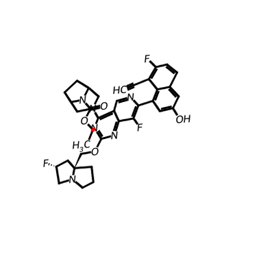 C#Cc1c(F)ccc2cc(O)cc(-c3ncc4c(N5CC6CCC(C5)N6C(=O)OCC)nc(OC[C@@]56CCCN5C[C@H](F)C6)nc4c3F)c12